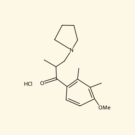 COc1ccc(C(=O)C(C)CN2CCCC2)c(C)c1C.Cl